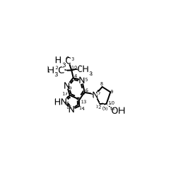 CC(C)(C)c1nc(N2CC[C@H](O)C2)c2cn[nH]c2n1